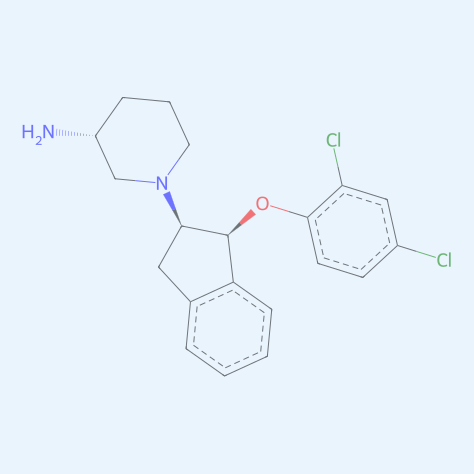 N[C@@H]1CCCN([C@@H]2Cc3ccccc3[C@@H]2Oc2ccc(Cl)cc2Cl)C1